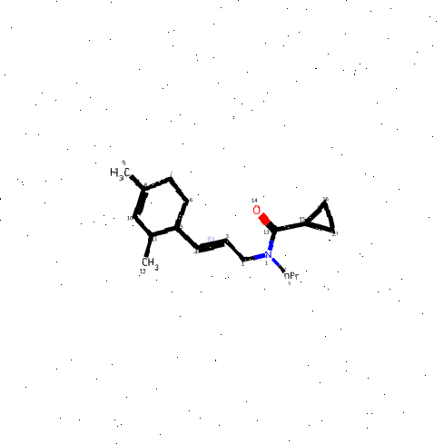 CCCN(C/C=C/C1CCC(C)=CC1C)C(=O)C1CC1